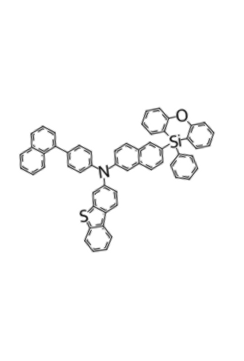 c1ccc([Si]2(c3ccc4cc(N(c5ccc(-c6cccc7ccccc67)cc5)c5ccc6c(c5)sc5ccccc56)ccc4c3)c3ccccc3Oc3ccccc32)cc1